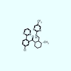 C[C@@H]1CCCN(C(=O)c2cc(Cl)ccc2-c2ncccn2)C1CNc1ncc(C(F)(F)F)cn1